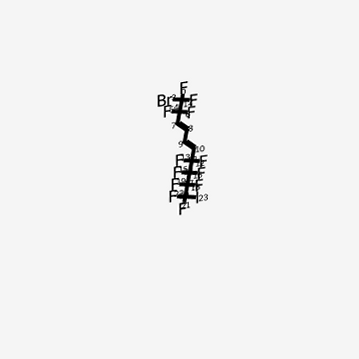 FC(F)(Br)C(F)(F)C=CC=CC(F)(F)C(F)(F)C(F)(F)C(F)(F)I